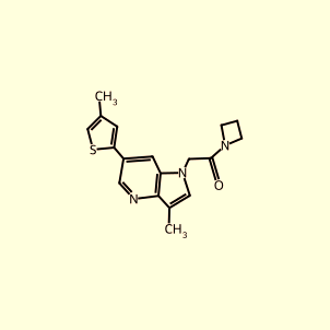 Cc1csc(-c2cnc3c(C)cn(CC(=O)N4CCC4)c3c2)c1